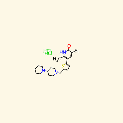 CCc1cc(-c2ccc(CN3CCC(N4CCCCC4)CC3)s2)c(C)[nH]c1=O.Cl.Cl